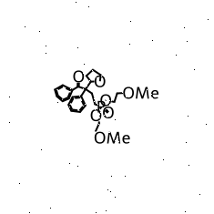 COCCOP(=O)(CCC(C(=O)c1ccccc1)(c1ccccc1)C1CCCO1)OCCOC